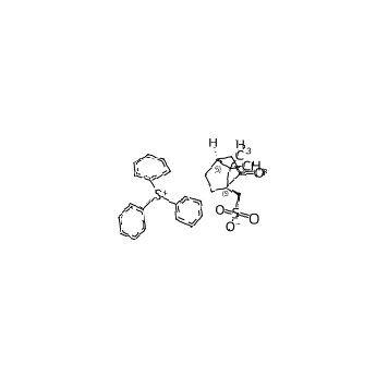 CC1(C)[C@H]2CC[C@@]1(CS(=O)(=O)[O-])C(=O)C2.c1ccc([S+](c2ccccc2)c2ccccc2)cc1